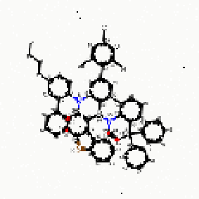 CCCCc1ccc(N2c3cc(-c4c(C)cc(C)cc4C)cc4c3B(c3c2ccc2sc5ccccc5c32)N2c3ccccc3C(c3ccccc3)(c3ccccc3)c3cccc-4c32)c(-c2ccccc2)c1